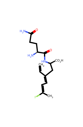 C=C/C(=C\C=C(/C)F)CC(NC(=O)[C@@H](N)CCC(N)=O)C(=O)O